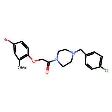 COc1cc(Br)ccc1OCC(=O)N1CCN(Cc2ccc(Cl)cc2)CC1